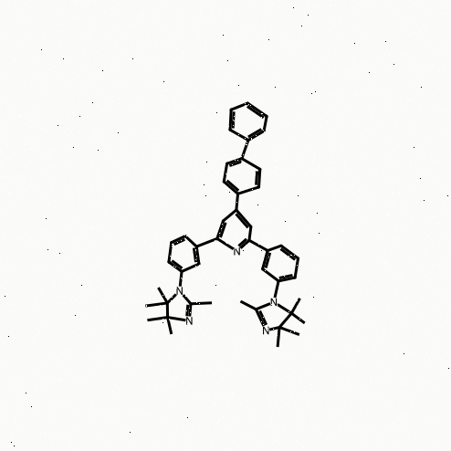 CC1=NC(C)(C)C(C)(C)N1c1cccc(-c2cc(-c3ccc(-c4ccccc4)cc3)cc(-c3cccc(N4C(C)=NC(C)(C)C4(C)C)c3)n2)c1